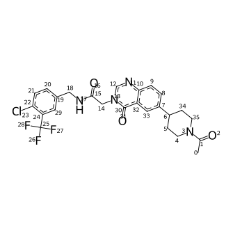 CC(=O)N1CCC(c2ccc3ncn(CC(=O)NCc4ccc(Cl)c(C(F)(F)F)c4)c(=O)c3c2)CC1